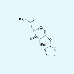 CC(CN1OC=C(OC2CCCCO2)C(C(C)(C)C)C1=O)C(=O)O